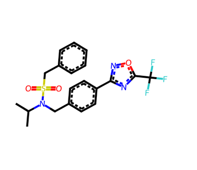 CC(C)N(Cc1ccc(-c2noc(C(F)(F)F)n2)cc1)S(=O)(=O)Cc1ccccc1